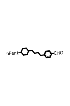 CCCCCC1CCC(CCCCc2ccc(C=O)cc2)CC1